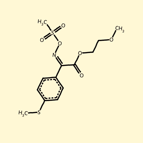 COCCOC(=O)C(=NOS(C)(=O)=O)c1ccc(SC)cc1